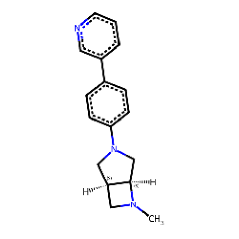 CN1C[C@H]2CN(c3ccc(-c4cccnc4)cc3)C[C@H]21